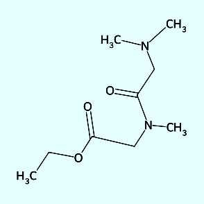 CCOC(=O)CN(C)C(=O)CN(C)C